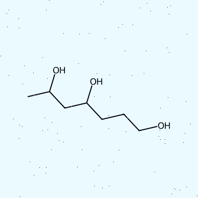 CC(O)CC(O)CCCO